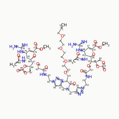 C#CCOCCOCCOCCOCCC(=O)N(Cc1cn(CCNC(=O)CO[C@@H]([C@@H]2OC(C(=O)OC)=C[C@H](NC(=N)N)[C@H]2NC(C)=O)[C@H]2COC(=O)O2)nn1)Cc1cn(CCNC(=O)CO[C@@H]([C@@H]2OC(C(=O)OC)=C[C@H](NC(=N)N)[C@H]2NC(C)=O)[C@H]2COC(=O)O2)nn1